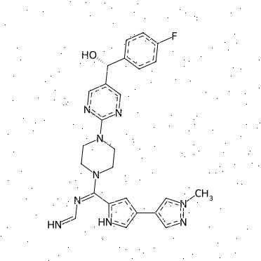 Cn1cc(-c2c[nH]c(/C(=N\C=N)N3CCN(c4ncc([C@H](O)c5ccc(F)cc5)cn4)CC3)c2)cn1